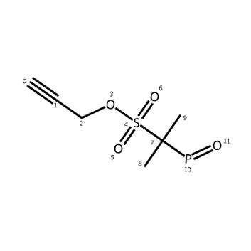 C#CCOS(=O)(=O)C(C)(C)P=O